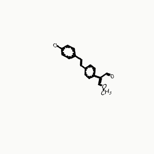 COC=C(C=O)c1ccc(C=Cc2ccc(Cl)cc2)cc1